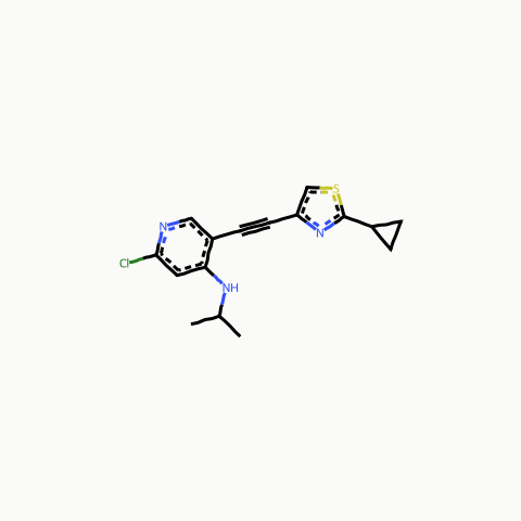 CC(C)Nc1cc(Cl)ncc1C#Cc1csc(C2CC2)n1